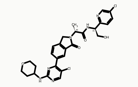 C[C@H](C(=O)N[C@H](CO)c1ccc(Cl)cn1)N1Cc2ccc(-c3nc(NC4CCOCC4)ncc3Cl)cc2C1=O